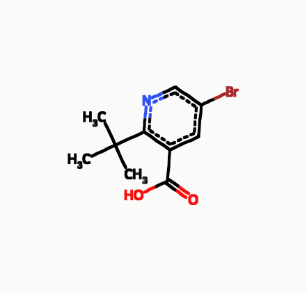 CC(C)(C)c1ncc(Br)cc1C(=O)O